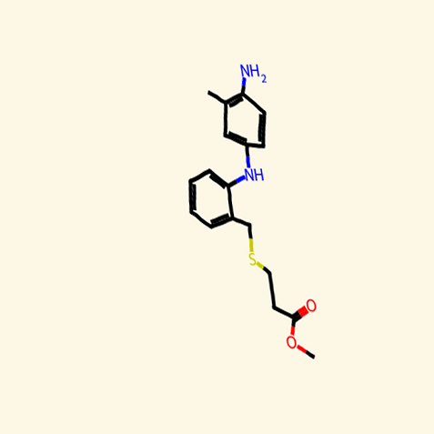 COC(=O)CCSCc1ccccc1Nc1ccc(N)c(C)c1